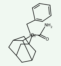 NC(=O)OC12CC3CC(C1)C(NCc1ccccc1)C(C3)C2